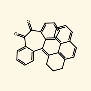 O=C1C(=O)c2ccccc2C(=C2CCCc3ccc4ccccc4c32)c2ccccc21